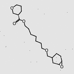 O=C(OCCCCCCCOCC1CCC2OC2C1)[C@@H]1CCCOC1